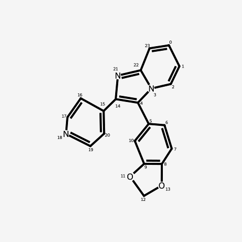 c1ccn2c(-c3ccc4c(c3)OCO4)c(-c3ccncc3)nc2c1